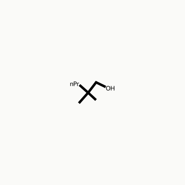 [CH2]CCC(C)(C)CO